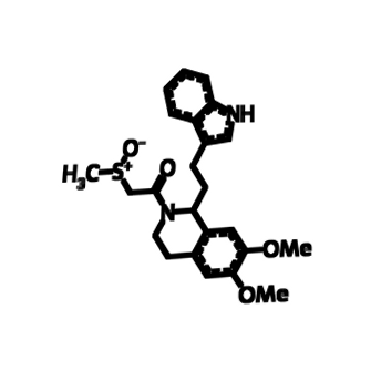 COc1cc2c(cc1OC)C(CCc1c[nH]c3ccccc13)N(C(=O)C[S+](C)[O-])CC2